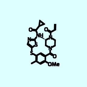 C=CC(=O)N1CCN(C(=O)c2cc(Sc3cnc(NC(=O)C4CC4)s3)c(C)cc2OC)C[C@@H]1C